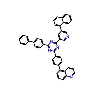 c1ccc(-c2ccc(-c3nc(-c4ccc(-c5cccc6ncccc56)cc4)nc(-c4cncc(-c5cccc6ccccc56)c4)n3)cc2)cc1